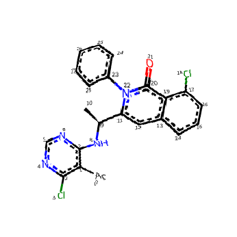 CC(=O)c1c(Cl)ncnc1N[C@@H](C)c1cc2cccc(Cl)c2c(=O)n1-c1ccccc1